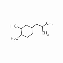 CC(C)CC1CCC(C)C(C)C1